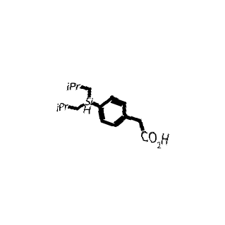 CC(C)C[SiH](CC(C)C)c1ccc(CC(=O)O)cc1